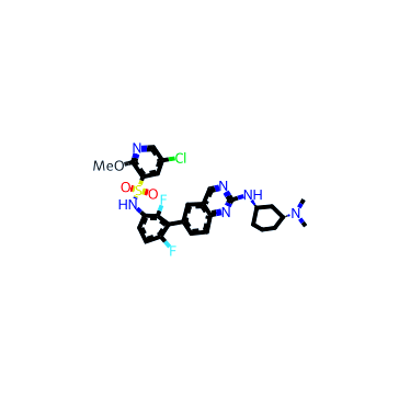 COc1ncc(Cl)cc1S(=O)(=O)Nc1ccc(F)c(-c2ccc3nc(N[C@@H]4CCC[C@@H](N(C)C)C4)ncc3c2)c1F